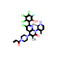 C=CC(=O)N1CCN(c2c(C#N)c(=O)n(C3=C(C)C=CN[C@@H]3C(C)C)c3nc(-c4c(O)c(F)c(Cl)c(Cl)c4Cl)c(Cl)cc23)CC1